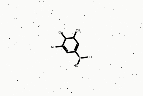 CC1C=C(B(O)O)C=C(C#N)C1Cl